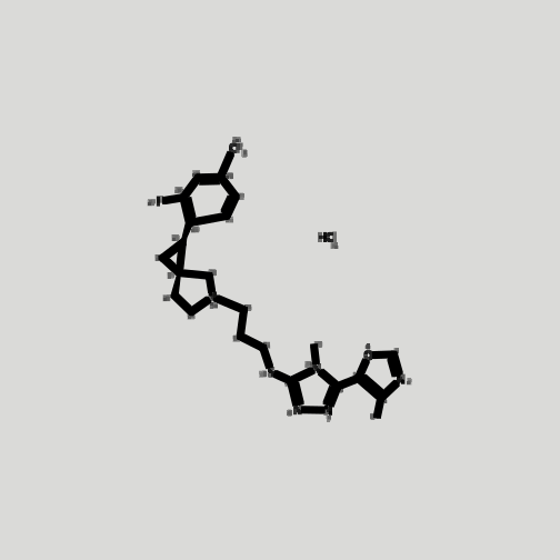 Cc1ncoc1-c1nnc(SCCCN2CC[C@]3(C[C@H]3c3ccc(C(F)(F)F)cc3F)C2)n1C.Cl